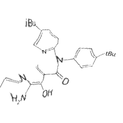 C=C(C(=O)N(c1ccc(C(C)(C)C)cc1)c1ccc(C(C)CC)cn1)/C(O)=C(N)\N=C/C